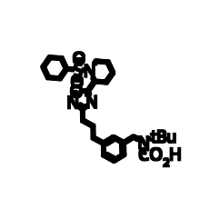 CC(C)(C)N(Cc1cccc(CCCc2noc(C3CCCCN3S(=O)(=O)C3CCCCC3)n2)c1)C(=O)O